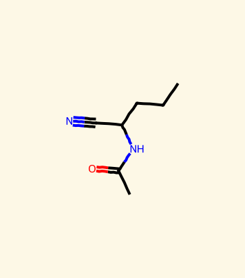 CCCC(C#N)NC(C)=O